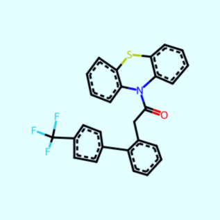 O=C(Cc1ccccc1-c1ccc(C(F)(F)F)cc1)N1c2ccccc2Sc2ccccc21